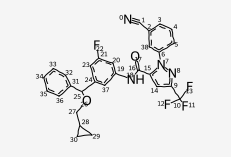 N#Cc1cccc(-n2nc(C(F)(F)F)cc2C(=O)Nc2cc(F)cc(C(OCC3CC3)c3ccccc3)c2)c1